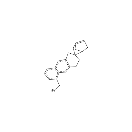 CC(C)Cc1cccc2cc3c(cc12)CCC1(CC2=CCC1C2)C3